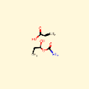 C=CC(=O)O.CCC(O)OC(N)=O